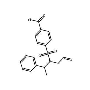 C=CCN(C(C)c1ccccc1)S(=O)(=O)c1ccc(C(=O)Cl)cc1